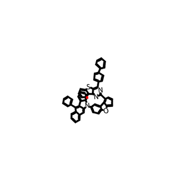 c1ccc(-c2ccc(-c3nc(-c4cccc5oc6ccc(-n7c8ccccc8c8c(-c9ccccc9)c9ccccc9cc87)cc6c45)nc4c3sc3ccccc34)cc2)cc1